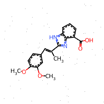 COc1ccc(/C=C(\C)c2nc3c(C(=O)O)cccc3[nH]2)cc1OC